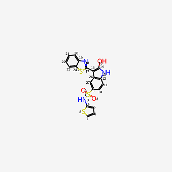 O=S(=O)(Nc1cccs1)c1ccc2[nH]c(O)c(-c3nc4ccccc4s3)c2c1